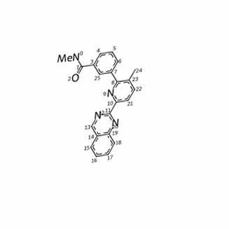 CNC(=O)c1cccc(-c2nc(-c3ncc4ccccc4n3)ccc2C)c1